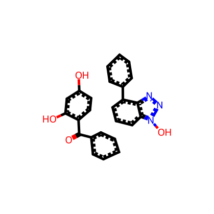 O=C(c1ccccc1)c1ccc(O)cc1O.On1nnc2c(-c3ccccc3)cccc21